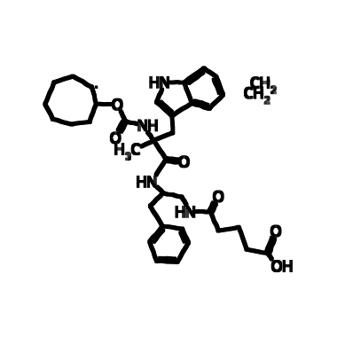 CC(Cc1c[nH]c2ccccc12)(NC(=O)OC1[CH]CCCCCC1)C(=O)NC(CNC(=O)CCCC(=O)O)Cc1ccccc1.[CH2].[CH2]